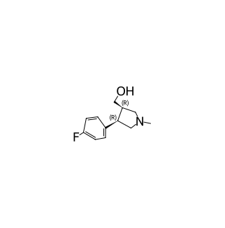 CN1C[C@H](CO)[C@H](c2ccc(F)cc2)C1